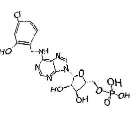 O=P(O)(O)OC[C@H]1O[C@@H](n2cnc3c(NCc4ccc(Cl)cc4O)ncnc32)[C@H](O)[C@@H]1O